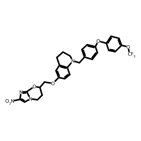 O=[N+]([O-])c1cn2c(n1)OC(COc1ccc3c(c1)CCCN3Cc1ccc(Oc3ccc(OC(F)(F)F)cc3)cc1)CC2